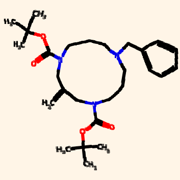 C=C1CN(C(=O)OC(C)(C)C)CCCN(Cc2ccccc2)CCCN(C(=O)OC(C)(C)C)C1